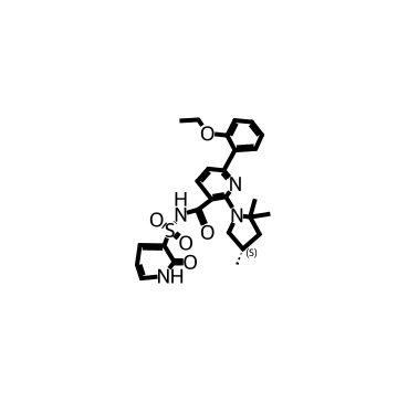 CCOc1ccccc1-c1ccc(C(=O)NS(=O)(=O)c2ccc[nH]c2=O)c(N2C[C@@H](C)CC2(C)C)n1